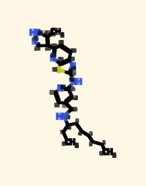 CCCCCCC(CC)NCc1ccnc(Nc2nc3ccc(-c4cn[nH]c4C)nc3s2)c1